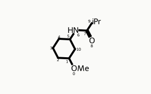 COC1CCCC(NC(=O)C(C)C)C1